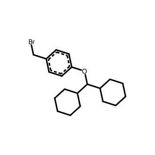 BrCc1ccc(OC(C2CCCCC2)C2CCCCC2)cc1